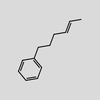 C/C=C/CCCc1ccccc1